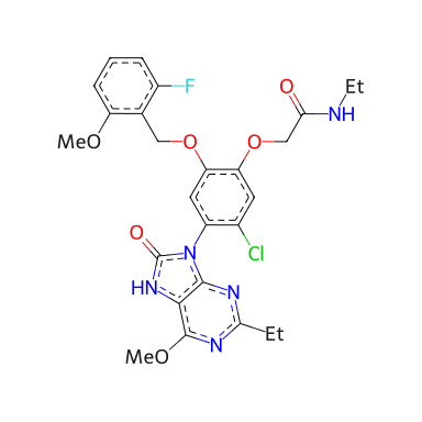 CCNC(=O)COc1cc(Cl)c(-n2c(=O)[nH]c3c(OC)nc(CC)nc32)cc1OCc1c(F)cccc1OC